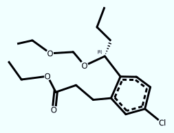 CCC[C@@H](OCOCC)c1ccc(Cl)cc1CCC(=O)OCC